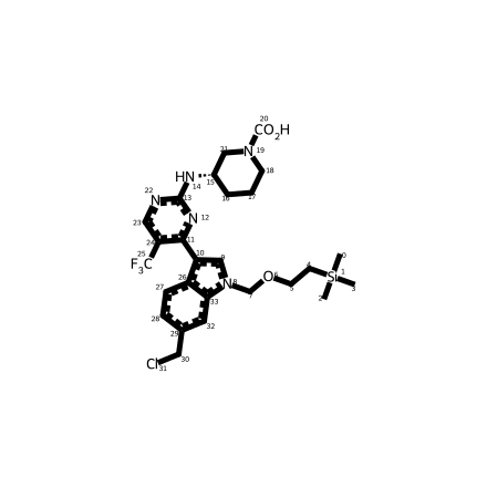 C[Si](C)(C)CCOCn1cc(-c2nc(N[C@H]3CCCN(C(=O)O)C3)ncc2C(F)(F)F)c2ccc(CCl)cc21